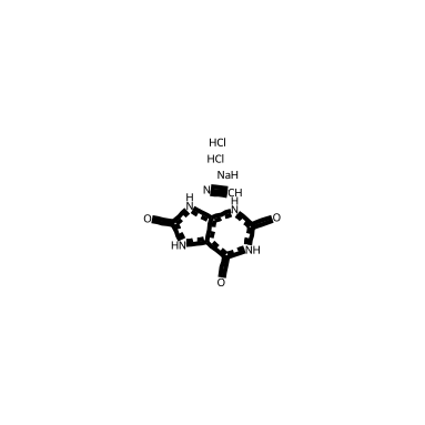 C#N.Cl.Cl.O=c1[nH]c(=O)c2[nH]c(=O)[nH]c2[nH]1.[NaH]